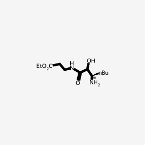 CCCC[C@@H](N)C(O)C(=O)NCCC(=O)OCC